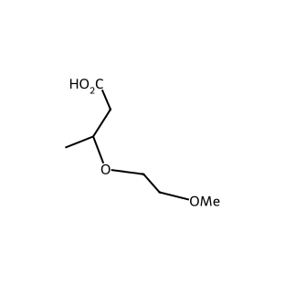 COCCOC(C)CC(=O)O